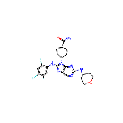 NC(=O)[C@H]1CC[C@H](n2c(Nc3cc(F)c(F)cc3F)nc3cnc(NC4CCOCC4)nc32)CC1